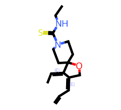 C=C/C=C1/COC2(CCN(C(=S)NCC)CC2)/C1=C/C